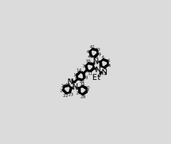 CCc1nc2cccc3c2n1-c1cc(-c2ccc(-c4nc5ccccc5n4-c4ccccc4)cc2)ccc1N3c1ccccc1